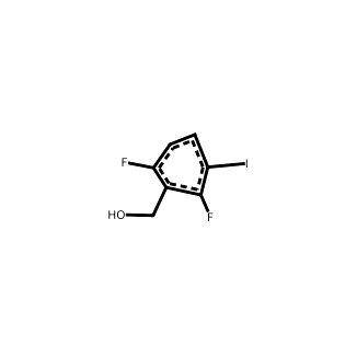 OCc1c(F)ccc(I)c1F